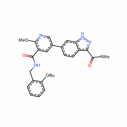 CNC(=O)c1n[nH]c2cc(-c3cnc(OC)c(C(=O)NCc4ccccc4OCC(C)C)c3)ccc12